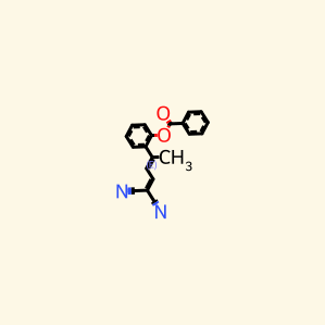 C/C(=C\C=C(C#N)C#N)c1ccccc1OC(=O)c1ccccc1